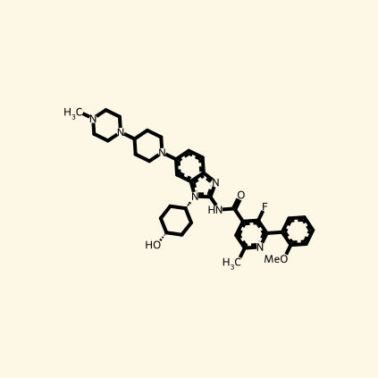 COc1ccccc1-c1nc(C)cc(C(=O)Nc2nc3ccc(N4CCC(N5CCN(C)CC5)CC4)cc3n2[C@H]2CC[C@@H](O)CC2)c1F